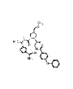 COC[C@@H]1C[C@@H](C(=O)NC(C)c2cc(C(=N)N)cs2)N(C(=O)CNC(=O)c2ccc(Oc3ccccc3)cc2)C1